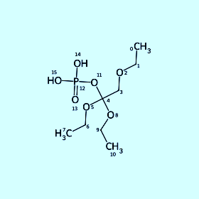 CCOCC(OCC)(OCC)OP(=O)(O)O